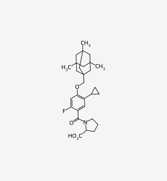 CC12CC3(C)CC(C)(C1)CC(COc1cc(F)c(C(=O)N4CCCC4C(=O)O)cc1C1CC1)(C2)C3